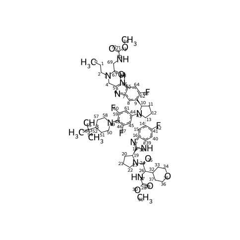 CCCN(Cc1nc2cc([C@H]3CC[C@H](c4cc5nc([C@@H]6CCCN6C(=O)C(NC(=O)OC)C6CCOCC6)[nH]c5cc4F)N3c3cc(F)c(N4CCC(C(C)(C)C)CC4)c(F)c3)c(F)cc2[nH]1)C(=O)CNC(=O)OC